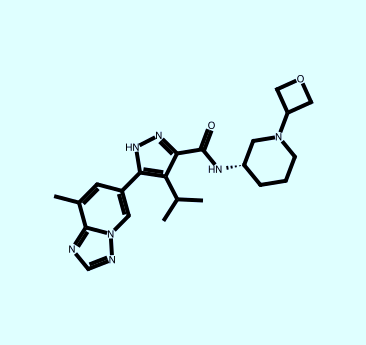 Cc1cc(-c2[nH]nc(C(=O)N[C@H]3CCCN(C4COC4)C3)c2C(C)C)cn2ncnc12